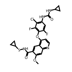 COc1cc2nccc(Oc3c(F)cc(NC(=O)NC4CC4)c(Cl)c3F)c2cc1C(=O)NSC1CC1